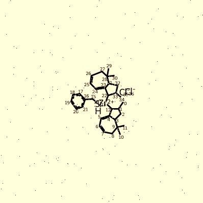 CC1CC2C(=CC=CCC2(C)C)[CH]1[Zr+2](=[SiH]Cc1ccccc1)[CH]1C2=CC=CCC(C)(C)C2CC1C.[Cl-].[Cl-]